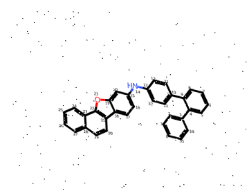 c1ccc(-c2ccccc2-c2ccc(Nc3ccc4c(c3)oc3c5ccccc5ccc43)cc2)cc1